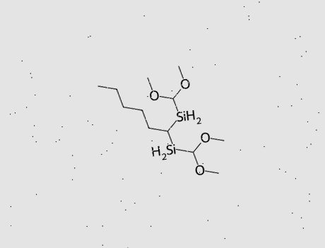 CCCCCC([SiH2]C(OC)OC)[SiH2]C(OC)OC